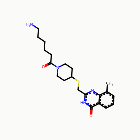 Cc1cccc2c(=O)[nH]c(CSC3CCN(C(=O)CCCCCN)CC3)nc12